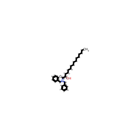 CCCCCCCCCCCCCC[C@@H](O)[C@H](C)N(Cc1ccccc1)Cc1ccccc1